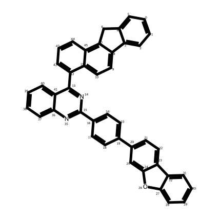 c1ccc2c(c1)Cc1c-2ccc2c(-c3nc(-c4ccc(-c5ccc6c(c5)oc5ccccc56)cc4)nc4ccccc34)cccc12